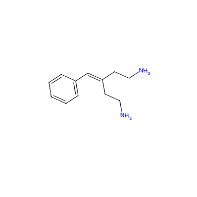 NCCC(=Cc1ccccc1)CCN